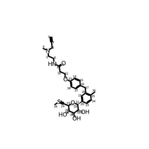 C#CCN(C)CCNC(=O)CCOc1ccc(Cc2cc([C@@H]3OC(C#SC)[C@@H](O)[C@H](O)[C@H]3O)ccc2C)cc1